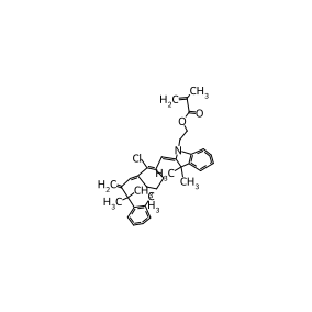 C=C(C)C(=O)OCCN1/C(=C/C2=C(Cl)C(=C/C(=C)C(C)(C)c3ccccc3C)/CCC2)C(C)(C)c2ccccc21